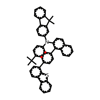 CC(C)(C)c1ccc(N(c2ccc3c(c2)C(C)(C)c2ccccc2-3)c2ccc3ccccc3c2-c2ccc(-c3cccc4c3sc3ccccc34)cc2)cc1